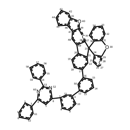 c1ccc(-c2cc(-c3cccc(-c4cccc(-c5ccc6c(c5)C5(c7ccccc7Oc7ccccc75)c5cc7oc8ccccc8c7cc5-6)c4)c3)nc(-c3ccccc3)n2)cc1